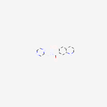 Cc1cnc(CNC(=O)c2cc3ncccc3cc2O)cn1